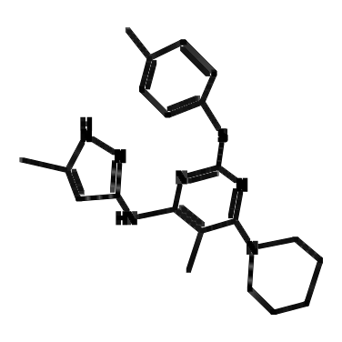 Cc1ccc(Sc2nc(Nc3cc(C)[nH]n3)c(C)c(N3CCCCC3)n2)cc1